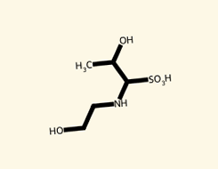 CC(O)C(NCCO)S(=O)(=O)O